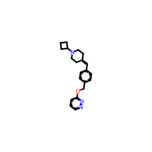 C(=C1CCN(C2CCC2)CC1)c1ccc(COc2cccnn2)cc1